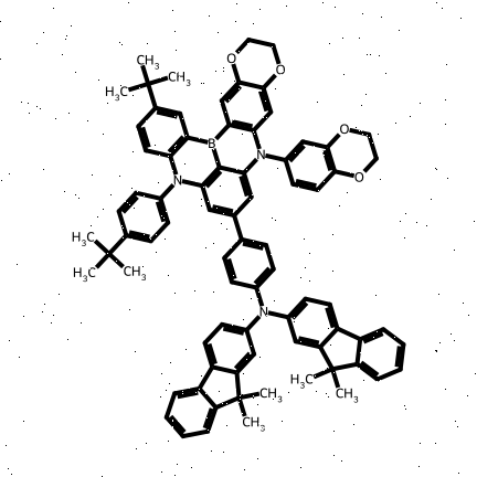 CC(C)(C)c1ccc(N2c3ccc(C(C)(C)C)cc3B3c4cc5c(cc4N(c4ccc6c(c4)OCCO6)c4cc(-c6ccc(N(c7ccc8c(c7)C(C)(C)c7ccccc7-8)c7ccc8c(c7)C(C)(C)c7ccccc7-8)cc6)cc2c43)OCCO5)cc1